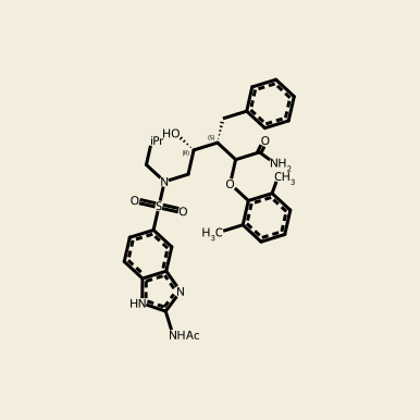 CC(=O)Nc1nc2cc(S(=O)(=O)N(CC(C)C)C[C@H](O)[C@H](Cc3ccccc3)C(Oc3c(C)cccc3C)C(N)=O)ccc2[nH]1